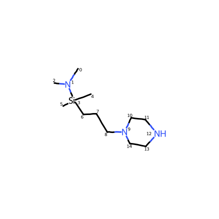 CN(C)[Si](C)(C)CCCN1CCNCC1